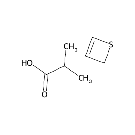 C1=CSC1.CC(C)C(=O)O